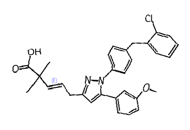 COc1cccc(-c2cc(C/C=C/C(C)(C)C(=O)O)nn2-c2ccc(Cc3ccccc3Cl)cc2)c1